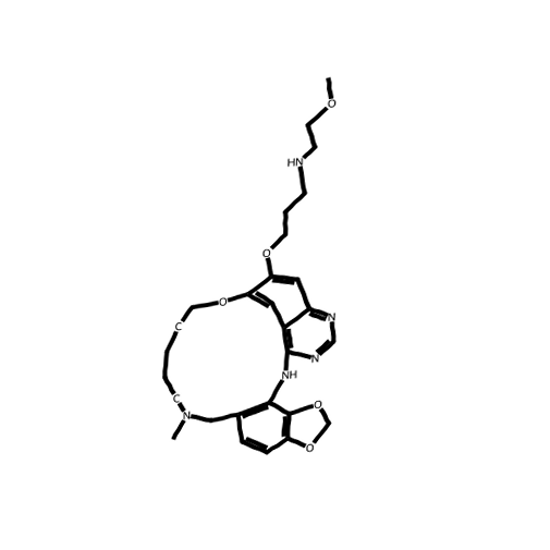 COCCNCCCOc1cc2ncnc3c2cc1OCCCCCN(C)Cc1ccc2c(c1N3)OCO2